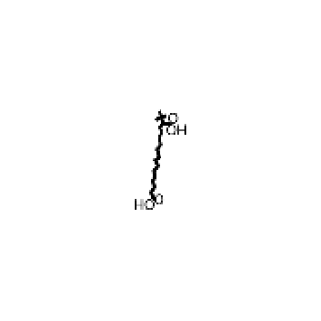 CC(C)(C)C(CCCCCCCCCCCCCC(=O)O)C(=O)O